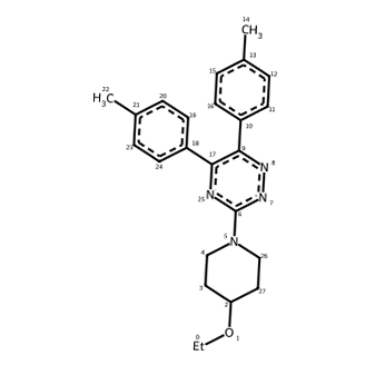 CCOC1CCN(c2nnc(-c3ccc(C)cc3)c(-c3ccc(C)cc3)n2)CC1